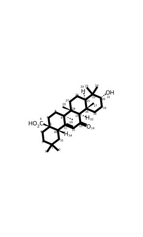 CC1(C)CC[C@]2(C(=O)O)CC[C@]3(C)C(=CC(=O)[C@@H]4[C@@]5(C)CC[C@@H](O)C(C)(C)[C@@H]5CC[C@]43C)[C@@H]2C1